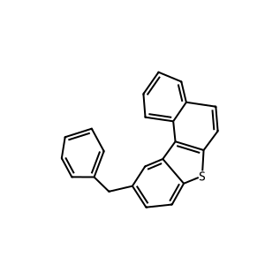 c1ccc(Cc2ccc3sc4ccc5ccccc5c4c3c2)cc1